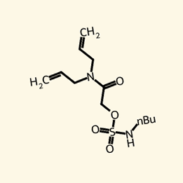 C=CCN(CC=C)C(=O)COS(=O)(=O)NCCCC